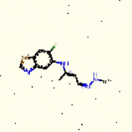 CCCN/N=C\C=C(/C)Nc1cc2ncsc2cc1F